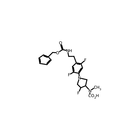 CN(C(=O)O)C1CN(c2cc(F)c(CCNC(=O)OCc3ccccc3)cc2F)CC1F